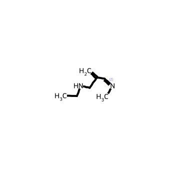 C=C(/C=N\C)CNCC